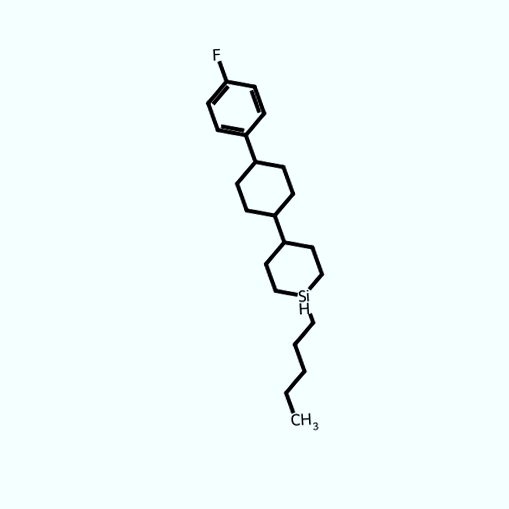 CCCCC[SiH]1CCC(C2CCC(c3ccc(F)cc3)CC2)CC1